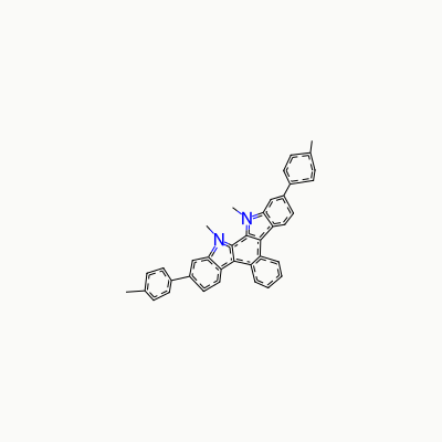 Cc1ccc(-c2ccc3c4c5ccccc5c5c6ccc(-c7ccc(C)cc7)cc6n(C)c5c4n(C)c3c2)cc1